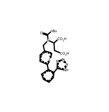 CCCCC(=O)N(Cc1ccc(-c2ccccc2-c2nnn[nH]2)cc1)C(CC(=O)O)C(=O)O